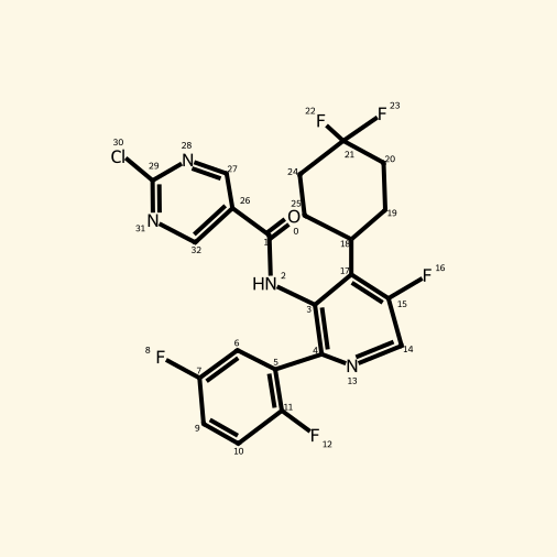 O=C(Nc1c(-c2cc(F)ccc2F)ncc(F)c1C1CCC(F)(F)CC1)c1cnc(Cl)nc1